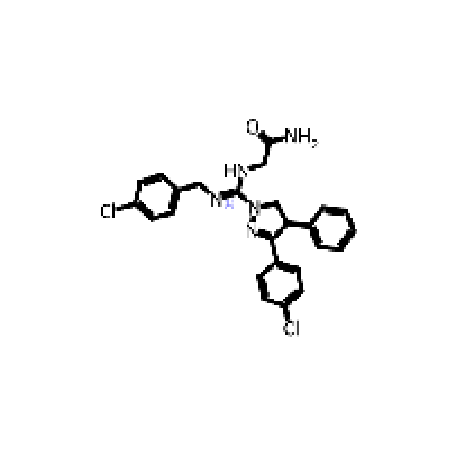 NC(=O)CN/C(=N\Cc1ccc(Cl)cc1)N1CC(c2ccccc2)C(c2ccc(Cl)cc2)=N1